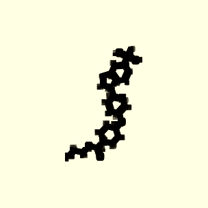 CS(=O)(=O)c1ccc2c(ccn2-c2ccc(OC3CCN(C(=O)OCCF)CC3)cn2)c1